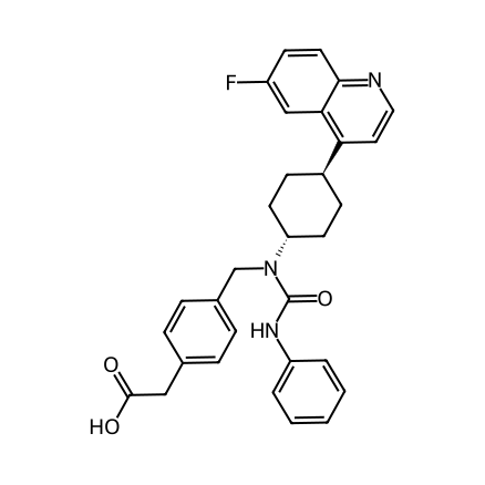 O=C(O)Cc1ccc(CN(C(=O)Nc2ccccc2)[C@H]2CC[C@H](c3ccnc4ccc(F)cc43)CC2)cc1